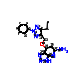 CCc1nn(-c2ccccc2)nc1COc1cc(N)nc2[nH]nnc12